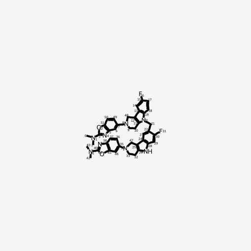 CN(C)c1nc2cc(N3CCc4c(c5cc(F)ccc5n4Cc4cc5c6c([nH]c5cc4F)CCN(c4ccc5nc(N(C)C)oc5c4)C6)C3)ccc2o1